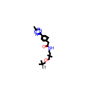 CCC(C)(C)COCC(C)(C)CCNC(=O)Cc1ccc(-c2nnc(C)nn2)cc1